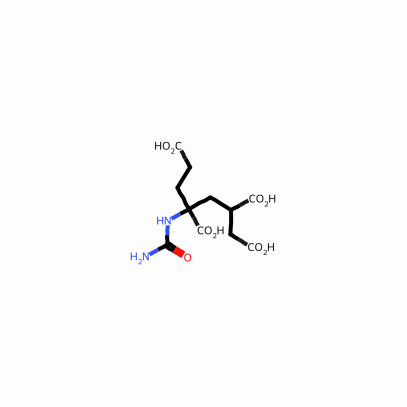 NC(=O)NC(CCC(=O)O)(CC(CC(=O)O)C(=O)O)C(=O)O